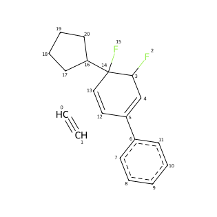 C#C.FC1C=C(c2ccccc2)C=CC1(F)C1CCCC1